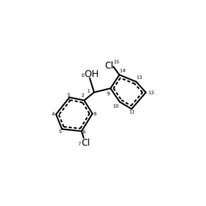 OC(c1[c]ccc(Cl)c1)c1ccccc1Cl